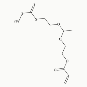 C=CC(=O)OCCOC(C)OCCSC(=S)SCCC